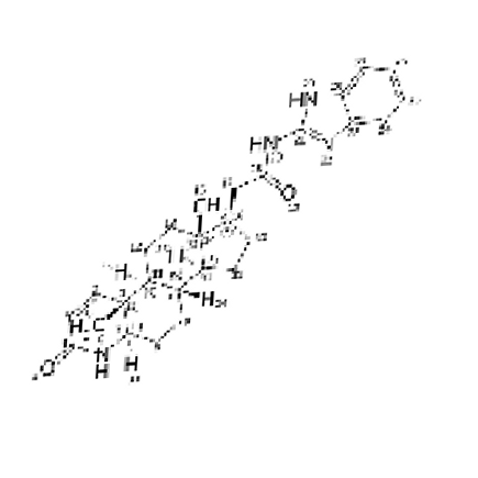 C[C@]12C=CC(=O)N[C@@H]1CC[C@@H]1[C@@H]2CC[C@]2(C)[C@@H](CC(=O)Nc3nc4ccccc4[nH]3)CC[C@@H]12